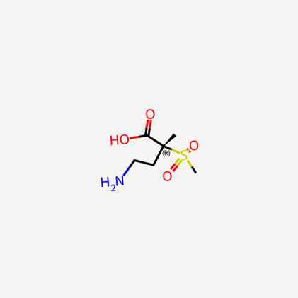 C[C@@](CCN)(C(=O)O)S(C)(=O)=O